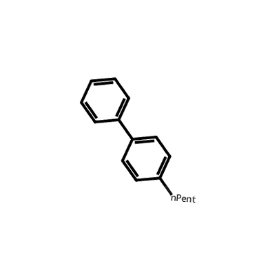 CCCCCc1ccc(-c2ccccc2)cc1